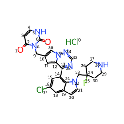 Cl.O=c1cc[nH]c(=O)n1Cc1cc2c(-c3cc(Cl)cc4ccn(CC5(F)CCNCC5)c34)ncnn2c1